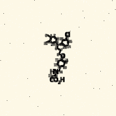 Cc1ccc(C(CCCOc2ccc(CNCCC(=O)O)cc2C)c2cccc(Cl)c2)cc1C